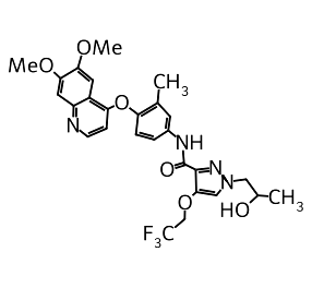 COc1cc2nccc(Oc3ccc(NC(=O)c4nn(CC(C)O)cc4OCC(F)(F)F)cc3C)c2cc1OC